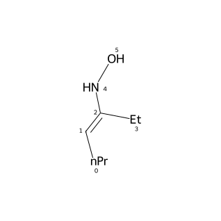 CCC/C=C(\CC)NO